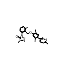 Cc1ccc(-c2cc(C)c(OCc3c(C)cccc3-n3nnn(C)c3=O)cc2C)nn1